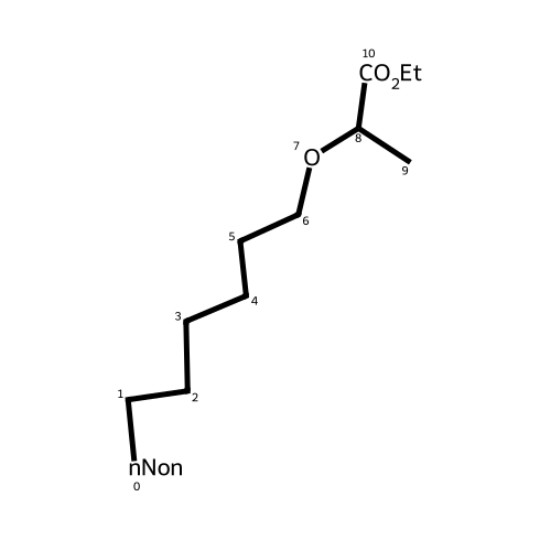 CCCCCCCCCCCCCCCOC(C)C(=O)OCC